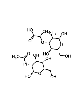 CC(=O)N[C@@H]1[C@@H](O)[C@H](O)[C@@H](CO)O[C@H]1O.C[C@@H](O[C@@H]1[C@@H](N)[C@@H](O)O[C@H](CO)[C@H]1O)C(=O)O